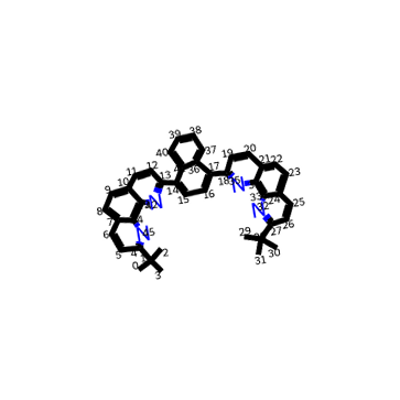 CC(C)(C)c1ccc2ccc3ccc(-c4ccc(-c5ccc6ccc7ccc(C(C)(C)C)nc7c6n5)c5ccccc45)nc3c2n1